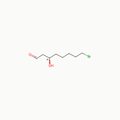 O=[C]C[C@H](O)CCCCCBr